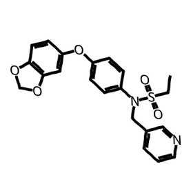 CCS(=O)(=O)N(Cc1cccnc1)c1ccc(Oc2ccc3c(c2)OCO3)cc1